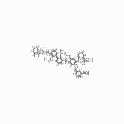 Cc1c(COc2cc(OCc3cncc(C#N)c3)c(CN3CCCC[C@H]3C(=O)O)cc2Cl)cccc1-c1cccc(OCCCN2CCCCC2C)c1C